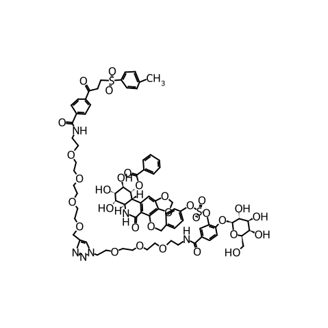 Cc1ccc(S(=O)(=O)CCC(=O)c2ccc(C(=O)NCCOCCOCCOCCOCc3cn(CCOCCOCCOCCNC(=O)c4ccc(O[C@@H]5O[C@H](CO)[C@H](O)[C@H](O)[C@H]5O)c(OS(=O)(=O)Oc5ccc(COc6c7c(cc8c6C(=O)N[C@H]6[C@H](O)[C@H](O)[C@@H](O)[C@H](OC(=O)c9ccccc9)[C@H]86)OCO7)cc5)c4)nn3)cc2)cc1